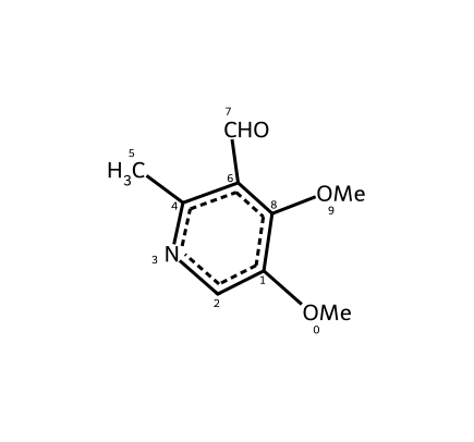 COc1cnc(C)c(C=O)c1OC